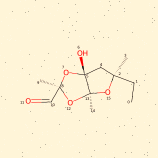 CC[C@]1(C)C[C@@]2(O)O[C@](C)(C=O)O[C@]2(C)O1